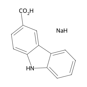 O=C(O)c1ccc2[nH]c3ccccc3c2c1.[NaH]